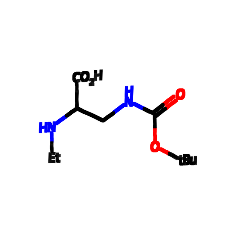 CCNC(CNC(=O)OC(C)(C)C)C(=O)O